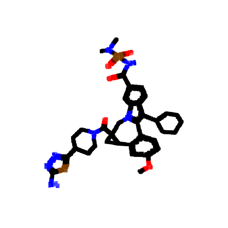 COc1ccc2c(c1)C1CC1(C(=O)N1CCC(c3nnc(N)s3)CC1)Cn1c-2c(C2CCCCC2)c2ccc(C(=O)NS(=O)(=O)N(C)C)cc21